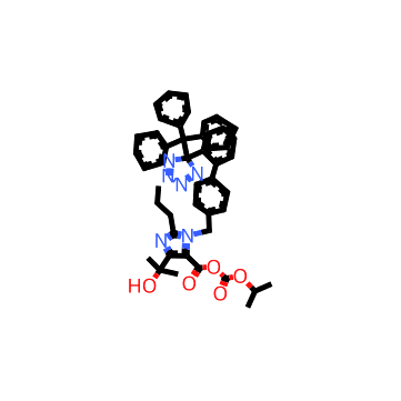 CCCc1nc(C(C)(C)O)c(C(=O)OC(=O)OC(C)C)n1Cc1ccc(-c2ccccc2C2(C(c3ccccc3)(c3ccccc3)c3ccccc3)N=NN=N2)cc1